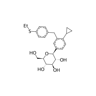 CCSc1ccc(Cc2cc([C@@H]3O[C@H](CO)[C@@H](O)[C@H](O)[C@H]3O)ccc2C2CC2)cc1